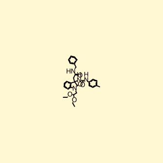 CCOC(CN1C(=O)C(CC(=O)NCc2ccccc2)(NC(=O)Nc2ccc(C)cc2)c2ccccc21)OCC